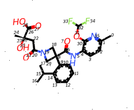 Cc1ccc(NC(=O)C2(c3ccccc3C(C)C)CN(C(=O)C[C@](C)(O)C(=O)O)C2)c(OC(F)F)n1